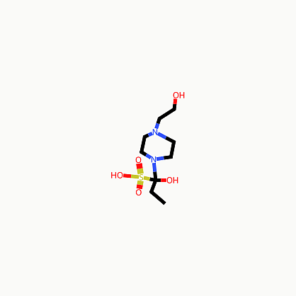 CCC(O)(N1CCN(CCO)CC1)S(=O)(=O)O